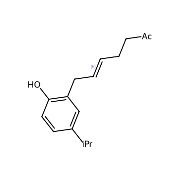 CC(=O)CC/C=C/Cc1cc(C(C)C)ccc1O